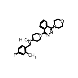 Cc1cc(F)ccc1CN(C)C1CCN(c2nnc(N3CCOCC3)c3ccccc23)CC1